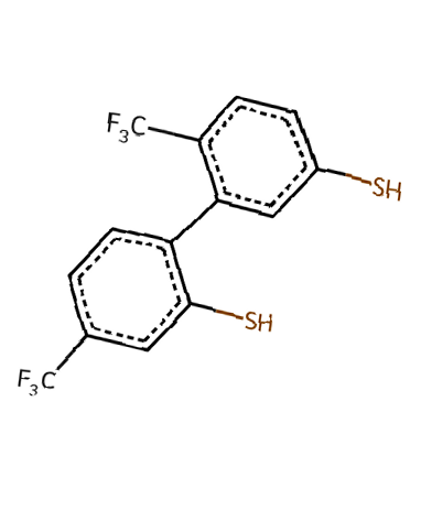 FC(F)(F)c1ccc(-c2cc(S)ccc2C(F)(F)F)c(S)c1